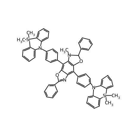 CN1c2c(c(-c3ccc(N4c5ccccc5[Si](C)(C)c5ccccc54)cc3)c3nc(-c4ccccc4)oc3c2-c2ccc(N3c4ccccc4[Si](C)(C)c4ccccc43)cc2)OC1c1ccccc1